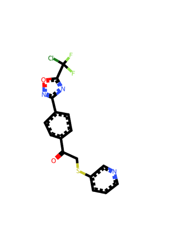 O=C(CSc1cccnc1)c1ccc(-c2noc(C(F)(F)Cl)n2)cc1